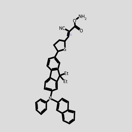 CCC1(CC)c2cc(C3CCC(/C=C(\C#N)C(=O)ON)S3)ccc2-c2ccc(N(c3ccccc3)c3ccc4ccccc4c3)cc21